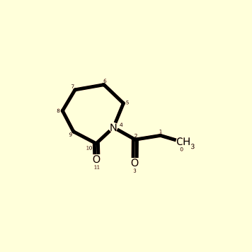 CCC(=O)N1CCCCCC1=O